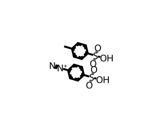 Cc1ccc(S(=O)(=O)O)cc1.N#[N+]c1ccc(S(=O)(=O)O)cc1